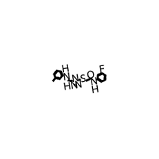 Cc1cccc(NCc2nc(SCC(=O)Nc3cccc(F)c3)n[nH]2)c1